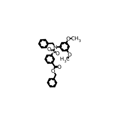 COc1cc(OC)cc(N(Cc2ccccc2)S(=O)(=O)c2cccc(C(=O)OCc3ccccc3)c2)c1